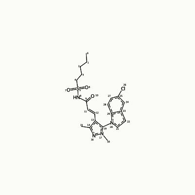 CCCCCS(=O)(=O)NC(=O)C=Cc1c(C)nn(C)c1-n1ccc2cc(Cl)ccc21